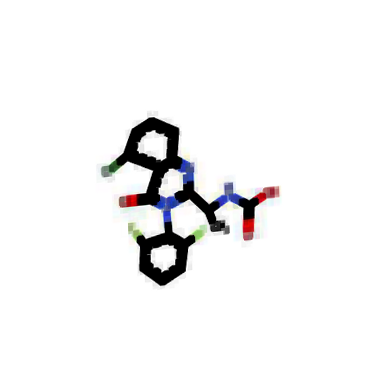 CC(NC(=O)O)c1nc2cccc(Cl)c2c(=O)n1-c1c(F)cccc1F